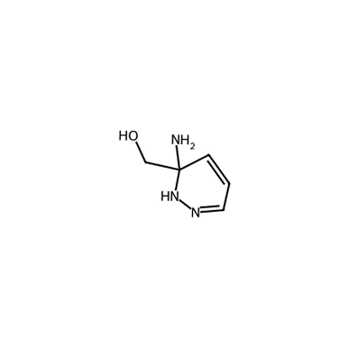 NC1(CO)C=CC=NN1